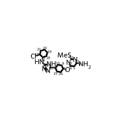 CSc1nc(N)cc(Oc2ccc(-c3nnc(Nc4ccccc4Cl)[nH]3)cc2)n1